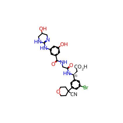 N#CC1(c2cc(Br)cc([C@H](CC(=O)O)NC(=O)CNC(=O)c3cc(O)cc(NC4=NCC(O)CN4)c3)c2)CCOCC1